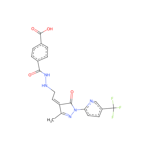 CC1=NN(c2ccc(C(F)(F)F)cn2)C(=O)C1=CCNNC(=O)c1ccc(C(=O)O)cc1